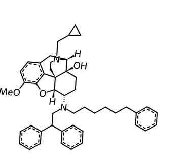 COc1ccc2c3c1O[C@H]1[C@@H](N(CCCCCCc4ccccc4)CC(c4ccccc4)c4ccccc4)CC[C@@]4(O)[C@@H](C2)N(CC2CC2)CC[C@]314